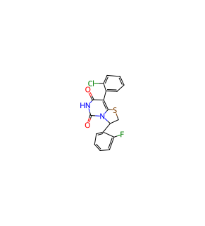 O=c1[nH]c(=O)n2c(c1-c1ccccc1Cl)SCC2c1ccccc1F